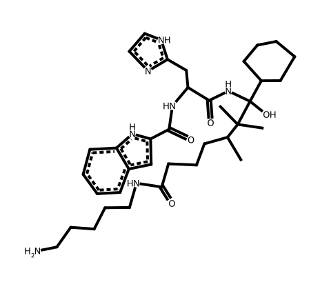 CC(CCCC(=O)NCCCCCN)C(C)(C)C(O)(NC(=O)C(Cc1ncc[nH]1)NC(=O)c1cc2ccccc2[nH]1)C1CCCCC1